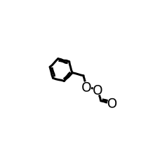 O=COOCc1ccccc1